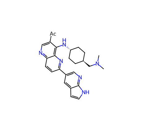 CC(=O)c1cnc2ccc(-c3cnc4[nH]ccc4c3)nc2c1N[C@H]1CC[C@H](CN(C)C)CC1